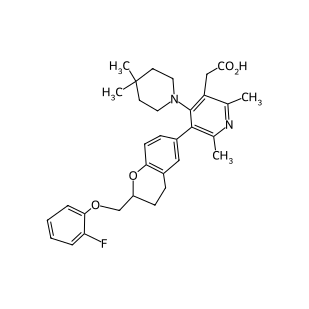 Cc1nc(C)c(-c2ccc3c(c2)CCC(COc2ccccc2F)O3)c(N2CCC(C)(C)CC2)c1CC(=O)O